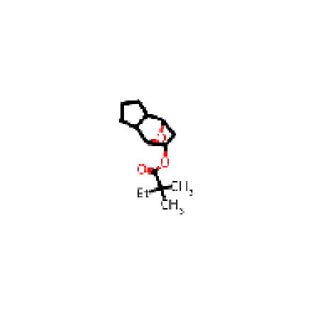 CCC(C)(C)C(=O)OC1CC2OC1C1CCCC21